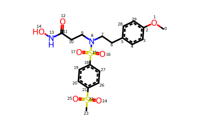 COc1ccc(CCN(CCC(=O)NO)S(=O)(=O)c2ccc(S(C)(=O)=O)cc2)cc1